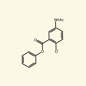 CC(=O)Nc1ccc(Cl)c(C(=O)Oc2ccccc2)c1